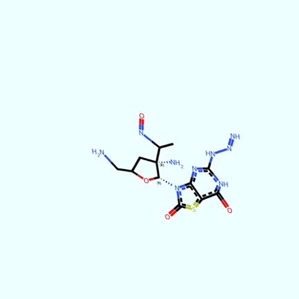 CC(N=O)[C@]1(N)CC(CN)O[C@H]1n1c(=O)sc2c(=O)[nH]c(NN=N)nc21